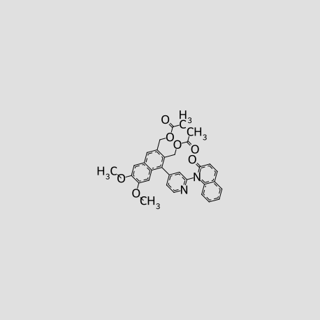 COc1cc2cc(COC(C)=O)c(COC(C)=O)c(-c3ccnc(-n4c(=O)ccc5ccccc54)c3)c2cc1OC